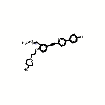 CO/N=C/c1cc(C#Cc2ccc(-c3ccc(Cl)cc3)cn2)ccc1OCCN1CCC(O)CC1